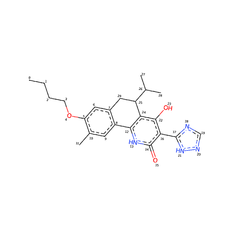 CCCCOc1cc2c(cc1C)-c1[nH]c(=O)c(-c3ncn[nH]3)c(O)c1C(C(C)C)C2